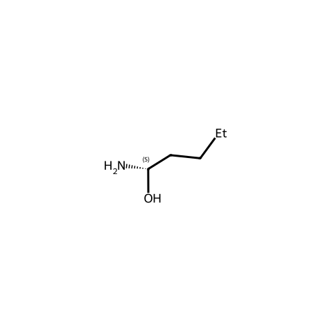 CCCC[C@@H](N)O